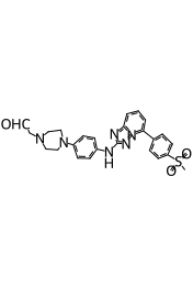 CS(=O)(=O)c1ccc(-c2cccc3nc(Nc4ccc(N5CCN(CC=O)CC5)cc4)nn23)cc1